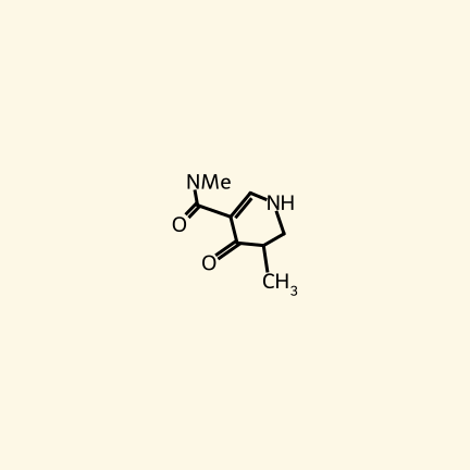 CNC(=O)C1=CNCC(C)C1=O